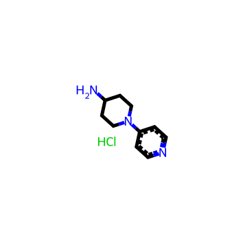 Cl.NC1CCN(c2ccncc2)CC1